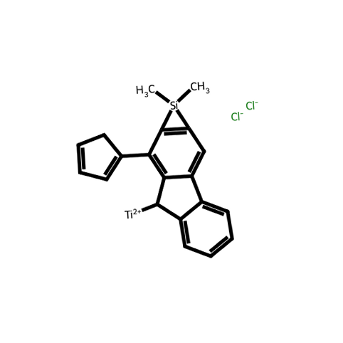 C[Si]1(C)c2cc3c(c(C4=CC=CC4)c21)[CH]([Ti+2])c1ccccc1-3.[Cl-].[Cl-]